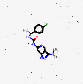 C[C@@H](NC(=O)Nc1cc2[nH]nc(N(C)C)c2cn1)c1ccc(F)cc1